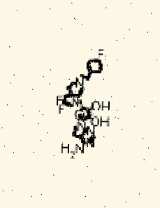 Nc1ncnc2c1ccn2[C@@H]1O[C@H](CN2CC(F)(F)CC23CCN(CCc2ccc(F)cc2)CC3)[C@@H](O)[C@H]1O